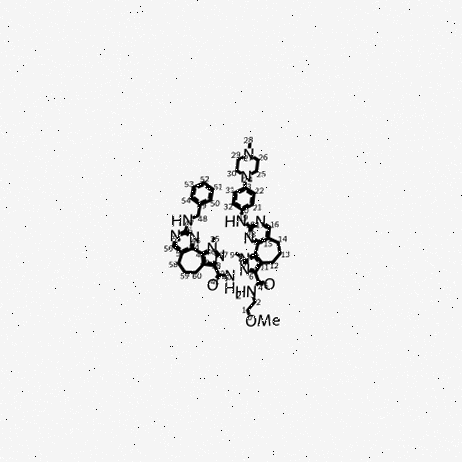 COCCNC(=O)c1nn(C)c2c1CCCc1cnc(Nc3ccc(N4CCN(C)CC4)cc3)nc1-2.Cn1nc(C(N)=O)c2c1-c1nc(NCc3ccccc3)ncc1CCC2